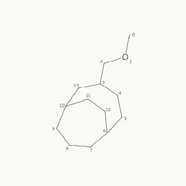 COCC1CCC2CCCC(CC2)C1